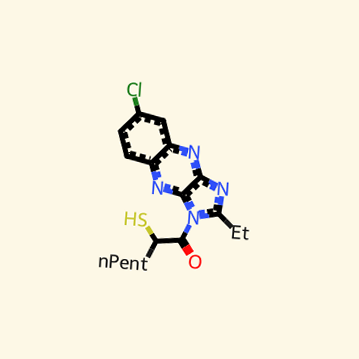 CCCCCC(S)C(=O)n1c(CC)nc2nc3cc(Cl)ccc3nc21